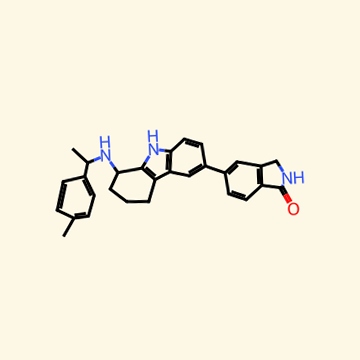 Cc1ccc(C(C)NC2CCCc3c2[nH]c2ccc(-c4ccc5c(c4)CNC5=O)cc32)cc1